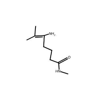 CNC(=O)CCCC(N)=C(C)C